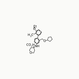 CCOc1cccc(-c2ccc(NC3(C(=O)O)CCOCC3)cc2COC2CCCC2)c1C